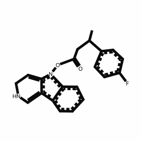 CC(CC(=O)On1c2c(c3ccccc31)=CNCC=2)c1ccc(F)cc1